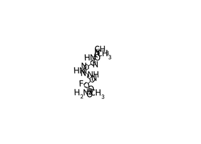 CN(C)CC(=O)Nc1cncc(-c2cnc3[nH]nc(-c4cc5c(-c6cc(F)cc(C(N)S(C)(=O)=O)c6)ccnc5[nH]4)c3c2)c1